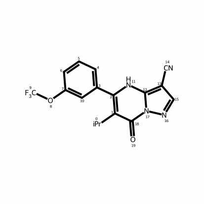 CC(C)c1c(-c2cccc(OC(F)(F)F)c2)[nH]c2c(C#N)cnn2c1=O